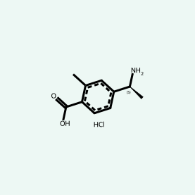 Cc1cc([C@H](C)N)ccc1C(=O)O.Cl